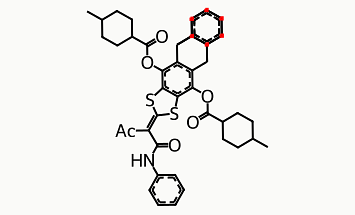 CC(=O)C(C(=O)Nc1ccccc1)=C1Sc2c(OC(=O)C3CCC(C)CC3)c3c(c(OC(=O)C4CCC(C)CC4)c2S1)C1c2ccccc2C3c2ccccc21